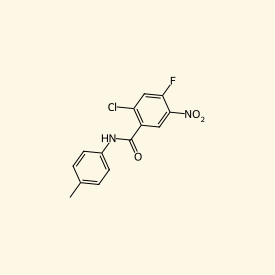 Cc1ccc(NC(=O)c2cc([N+](=O)[O-])c(F)cc2Cl)cc1